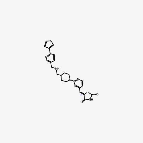 O=C1NC(=O)/C(=C/c2ccnc(N3CCC(CNCc4ccc(-c5ccsc5)nc4)CC3)n2)S1